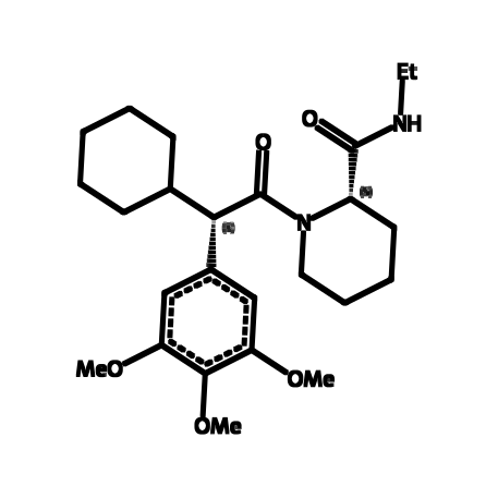 CCNC(=O)[C@@H]1CCCCN1C(=O)[C@H](c1cc(OC)c(OC)c(OC)c1)C1CCCCC1